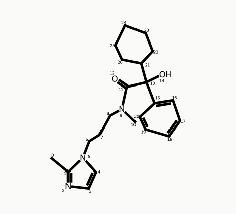 Cc1nccn1CCCN(C)C(=O)C(O)(c1ccccc1)C1CCCCC1